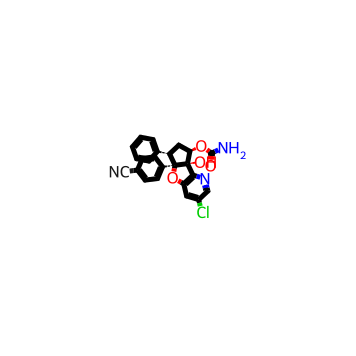 N#Cc1ccc([C@@]23Oc4cc(Cl)cnc4[C@]2(O)[C@H](OC(N)=O)C[C@H]3c2ccccc2)cc1